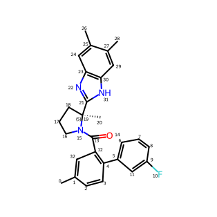 Cc1ccc(-c2cccc(F)c2)c(C(=O)N2CCC[C@@]2(C)c2nc3cc(C)c(C)cc3[nH]2)c1